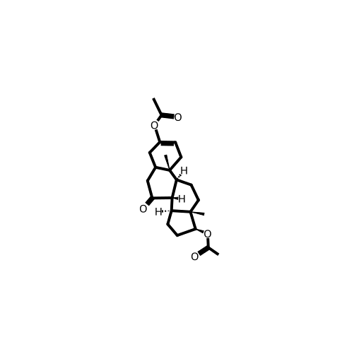 CC(=O)OC1=CC[C@@]2(C)C(CC(=O)[C@H]3[C@@H]4CC[C@H](OC(C)=O)[C@@]4(C)CC[C@@H]32)C1